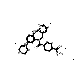 COC(=O)C1CCC(C(=O)N2Cc3cccnc3Nc3ccc(N4CCOCC4)cc32)CC1